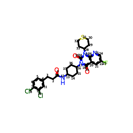 O=C(CCc1ccc(Cl)c(Cl)c1)NC1CCC(n2c(=O)c3cc(F)cnc3n(C3CCSCC3)c2=O)CC1